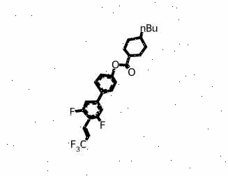 CCCCC1CCC(C(=O)Oc2ccc(-c3cc(F)c(/C=C/C(F)(F)F)c(F)c3)cc2)CC1